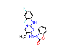 Cc1cnc(Nc2ccc(F)cc2F)nc1Nn1c(=O)oc2ccccc21